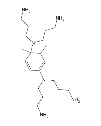 CC1C=C(N(CCCN)CCCN)C=CC1(C)N(CCCN)CCCN